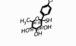 C[C@H]1O[C@](S)(c2ccc(Cl)cc2)[C@H](O)[C@@H](O)[C@H]1O